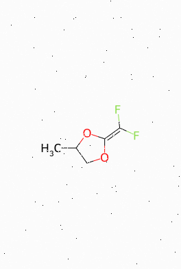 CC1COC(=C(F)F)O1